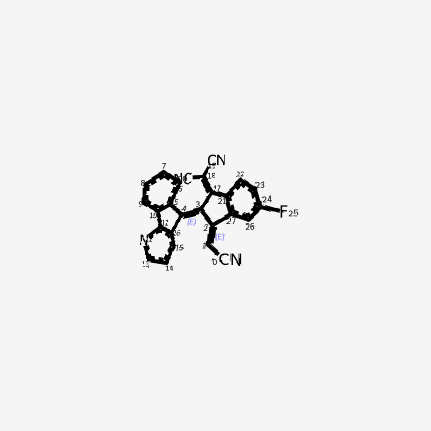 N#C/C=C1/C(=C2/c3ccccc3-c3ncccc32)C(=C(C#N)C#N)c2ccc(F)cc21